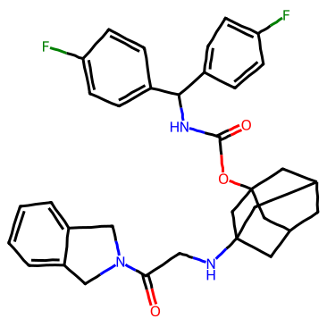 O=C(NC(c1ccc(F)cc1)c1ccc(F)cc1)OC12CC3CC(CC(NCC(=O)N4Cc5ccccc5C4)(C3)C1)C2